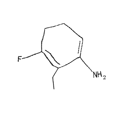 CC1=C(F)CCC=C1N